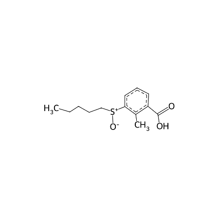 CCCCC[S+]([O-])c1cccc(C(=O)O)c1C